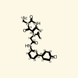 CC(=O)Cn1c(=O)[nH]c2nc(C)n(CC(=O)Nc3cccc(-c4ccc(Cl)cc4)n3)c2c1=O